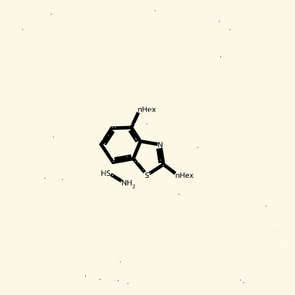 CCCCCCc1nc2c(CCCCCC)cccc2s1.NS